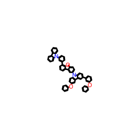 c1ccc(Oc2cccc(-c3ccc4c(c3)c3cc(Oc5ccccc5)ccc3n4-c3ccc4oc5c(-c6cccc(-n7c8ccccc8c8ccccc87)c6)cccc5c4c3)c2)cc1